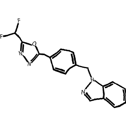 FC(F)c1nnc(-c2ccc(Cn3ncc4ccccc43)cc2)o1